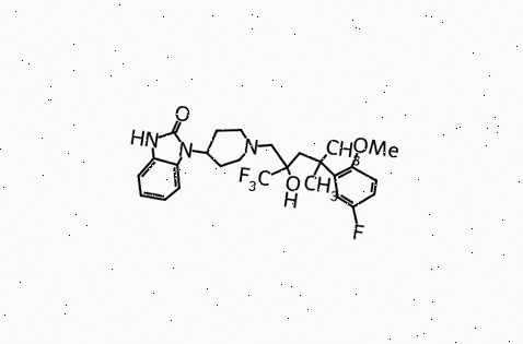 COc1ccc(F)cc1C(C)(C)CC(O)(CN1CCC(n2c(=O)[nH]c3ccccc32)CC1)C(F)(F)F